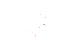 O=C(O)OC1(c2ccccc2Sc2ccc(F)cc2)CCNCC1